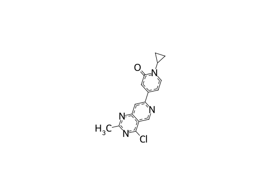 Cc1nc(Cl)c2cnc(-c3ccn(C4CC4)c(=O)c3)cc2n1